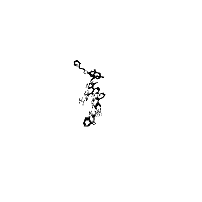 Cc1c(Nc2nc3ccccc3s2)nnc2c1CCCN2c1ccc(-c2cnn(CC34CC5(C)CC(C)(C3)CC(OCCN3CCCC3)(C5)C4)c2C)c(C(N)=O)n1